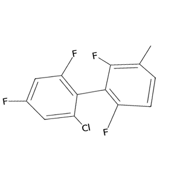 Cc1ccc(F)c(-c2c(F)cc(F)cc2Cl)c1F